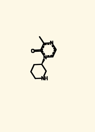 Cc1nccn([C@@H]2CCCNC2)c1=O